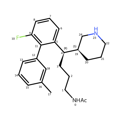 CC(=O)NCCC[C@@H](c1cccc(F)c1-c1cccc(C)c1)[C@@H]1CCCNC1